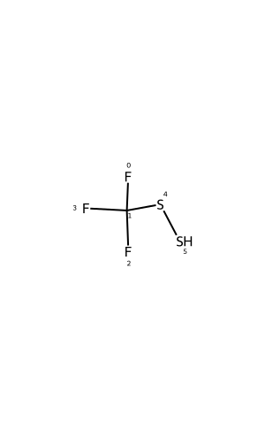 FC(F)(F)SS